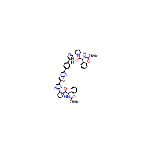 COC(=O)NC(C(=O)N1CCCC1c1ncc(-c2cn3cc(-c4ccc(-c5cnc([C@@H]6CCCN6C(=O)[C@H](NC(=O)OC)c6ccccc6)[nH]5)cc4)nc3s2)[nH]1)c1ccccc1